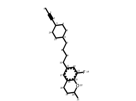 CC#CC1CCC(CCCCc2cc(F)c3c(c2)CCC(C)O3)CC1